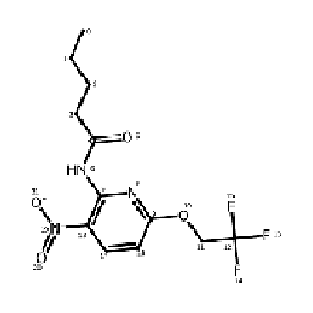 CCCCC(=O)Nc1nc(OCC(F)(F)F)ccc1[N+](=O)[O-]